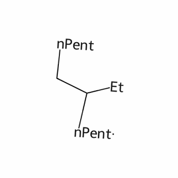 CCCC[CH]C(CC)CCCCCC